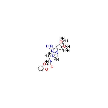 [2H]C([2H])([2H])Oc1cc2nc(N3C([2H])([2H])CN(C(=O)C4([2H])COc5ccccc5O4)CC3([2H])[2H])nc(N)c2cc1OC([2H])([2H])[2H]